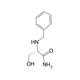 NC(=O)[C@H](CO)NCc1ccccc1